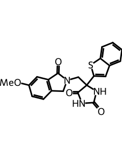 COc1ccc2c(c1)C(=O)N(CC1(c3cc4ccccc4s3)NC(=O)NC1=O)C2